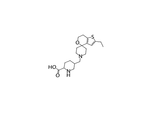 CCc1cc2c(s1)CCOC21CCN(CC2CCC(C(=O)O)NC2)CC1